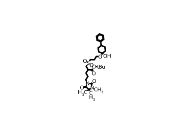 CN1C(=O)N(CCCC(CS(=O)(=O)CCCOC2(O)CCC(c3ccccc3)CC2)C(=O)OC(C)(C)C)C(=O)C1(C)C